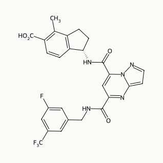 Cc1c(C(=O)O)ccc2c1CC[C@@H]2NC(=O)c1cc(C(=O)NCc2cc(F)cc(C(F)(F)F)c2)nc2ccnn12